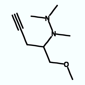 C#CCC(COC)N(C)N(C)C